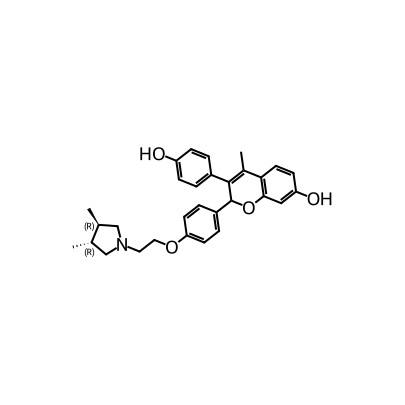 CC1=C(c2ccc(O)cc2)C(c2ccc(OCCN3C[C@H](C)[C@@H](C)C3)cc2)Oc2cc(O)ccc21